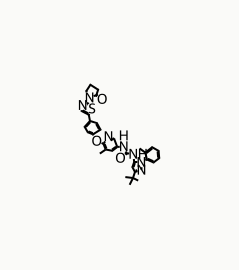 Cc1ccccc1-n1nc(C(C)(C)C)cc1NC(=O)Nc1cnc(Oc2ccc(-c3cnc(N4CCCC4=O)s3)cc2)c(C)c1